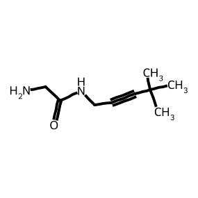 CC(C)(C)C#CCNC(=O)CN